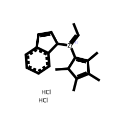 C/[CH]=[Zr](/[C]1=C(C)C(C)=C(C)C1C)[CH]1C=Cc2ccccc21.Cl.Cl